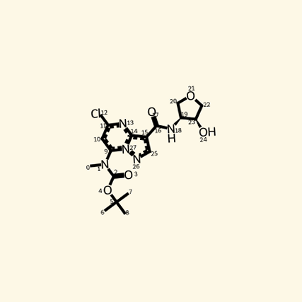 CN(C(=O)OC(C)(C)C)c1cc(Cl)nc2c(C(=O)N[C@H]3COC[C@H]3O)cnn12